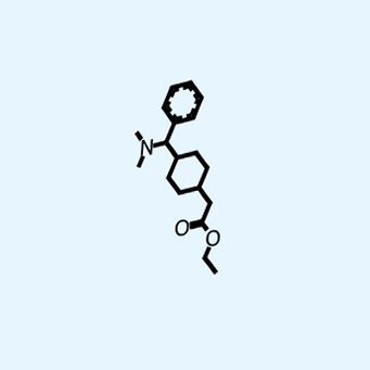 CCOC(=O)CC1CCC(C(c2ccccc2)N(C)C)CC1